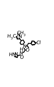 Cc1cc(C2CCC(N3CC(CNC(=O)c4cc[nH]n4)OCC3Cc3ccc(Cl)cc3)CC2)nn1C